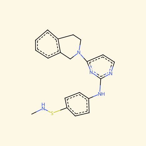 CNSc1ccc(Nc2nccc(N3CCc4ccccc4C3)n2)cc1